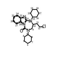 O=C1N(C2CCCCC2)CC(CCCl)N(C2CCCCC2)c2nc3ccccc3n21